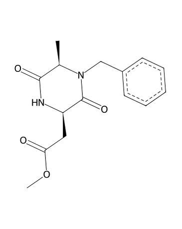 COC(=O)C[C@H]1NC(=O)[C@@H](C)N(Cc2ccccc2)C1=O